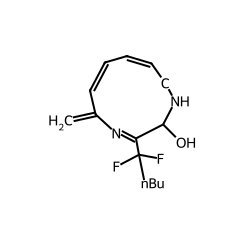 C=C1/C=C\C=C/CNC(O)/C(C(F)(F)CCCC)=N\1